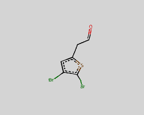 O=CCc1cc(Br)c(Br)s1